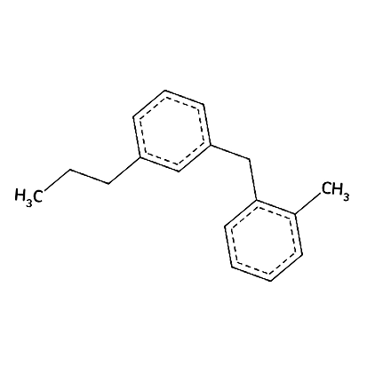 CCCc1cccc(Cc2ccccc2C)c1